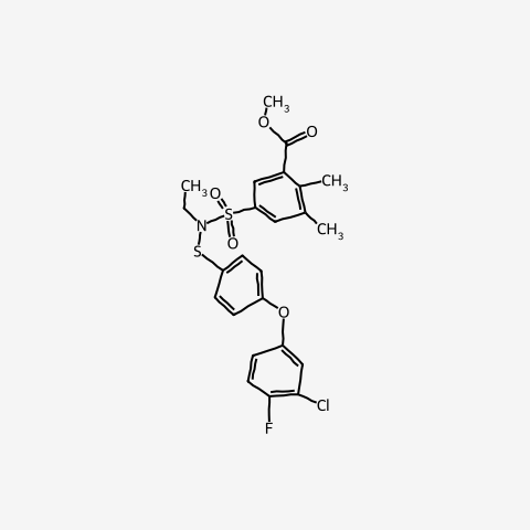 CCN(Sc1ccc(Oc2ccc(F)c(Cl)c2)cc1)S(=O)(=O)c1cc(C)c(C)c(C(=O)OC)c1